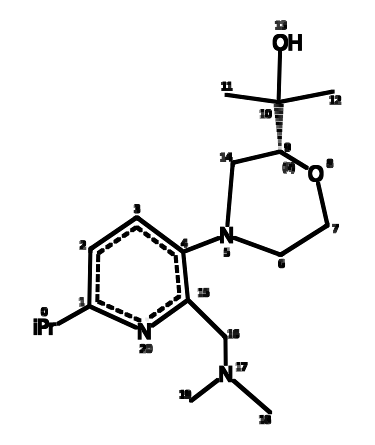 CC(C)c1ccc(N2CCO[C@@H](C(C)(C)O)C2)c(CN(C)C)n1